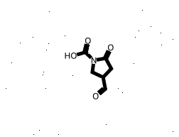 O=CC1CC(=O)N(C(=O)O)C1